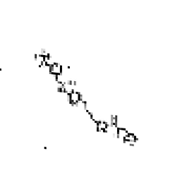 O=C(Cc1ccon1)Nc1nnc(CCCCc2ccc(NC(O)Cc3cccc(OC(F)(F)F)c3)nn2)s1